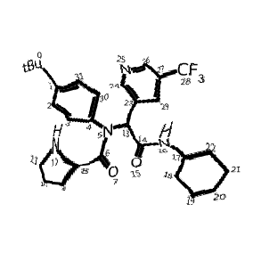 CC(C)(C)c1ccc(N(C(=O)[C@H]2CCCN2)C(C(=O)NC2CCCCC2)c2cncc(C(F)(F)F)c2)cc1